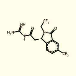 N=C(N)NC(=O)C[C@@H]1c2ccc(C(F)(F)F)cc2C(=O)N1CC(F)(F)F